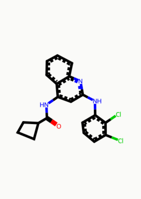 O=C(Nc1cc(Nc2cccc(Cl)c2Cl)nc2ccccc12)C1CCC1